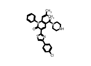 CC(C)=Cc1c(C(=O)N2CCNCC2)cc(-c2nc(-c3ccc(Cl)cc3)cs2)c(=O)n1-c1ccccc1